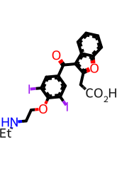 CCNCCOc1c(I)cc(C(=O)c2c(CC(=O)O)oc3ccccc23)cc1I